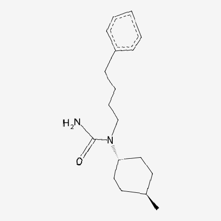 C[C@H]1CC[C@H](N(CCCCc2ccccc2)C(N)=O)CC1